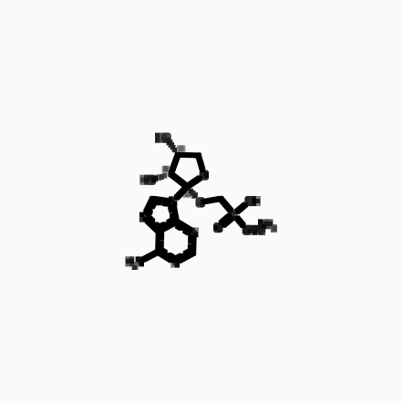 COP(=O)(O)CO[C@@]1(n2cnc3c(N)ncnc32)OC[C@@H](O)[C@H]1O.N